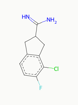 N=C(N)C1Cc2ccc(F)c(Cl)c2C1